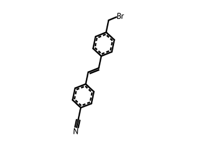 N#Cc1ccc(/C=C/c2ccc(CBr)cc2)cc1